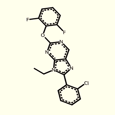 CCn1c(-c2ccccc2Cl)nc2cnc(Oc3c(F)cccc3F)nc21